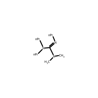 CCCN=C(N(C)C)N(CCC)CCC